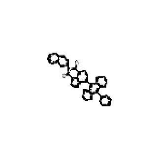 O=C1c2cccc3c(-c4c5ccccc5c(-c5ccccc5)c5ccccc45)ccc(c23)C(=O)N1c1ccc2ccccc2c1